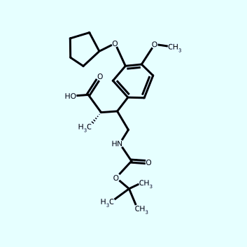 COc1ccc(C(CNC(=O)OC(C)(C)C)[C@H](C)C(=O)O)cc1OC1CCCC1